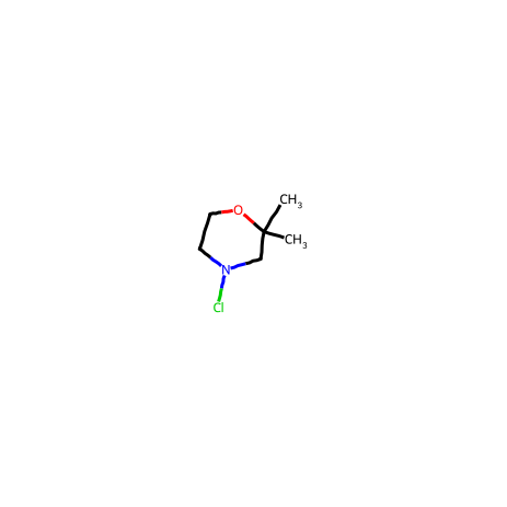 CC1(C)CN(Cl)CCO1